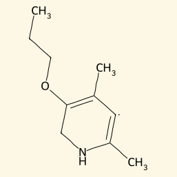 CCCOC1=C(C)[C]=C(C)NC1